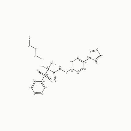 NC(CCCCCF)(C(=O)OCc1ccc(-n2cccn2)cc1)S(=O)(=O)c1ccccn1